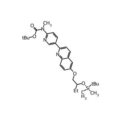 CCC(COc1ccc2nc(-c3ccc(N(C)C(=O)OC(C)(C)C)nc3)ccc2c1)O[Si](C)(C)C(C)(C)C